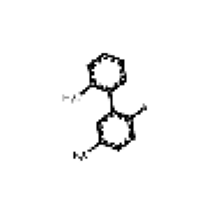 Cc1[c]cccc1-c1cc(C(F)(F)F)ccc1Br